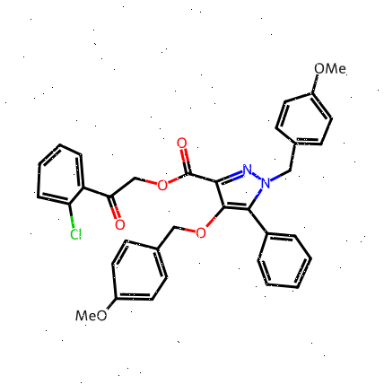 COc1ccc(COc2c(C(=O)OCC(=O)c3ccccc3Cl)nn(Cc3ccc(OC)cc3)c2-c2ccccc2)cc1